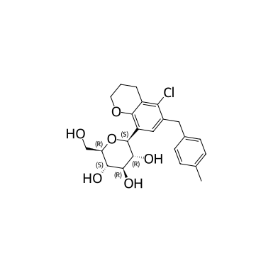 Cc1ccc(Cc2cc([C@@H]3O[C@H](CO)[C@@H](O)[C@H](O)[C@H]3O)c3c(c2Cl)CCCO3)cc1